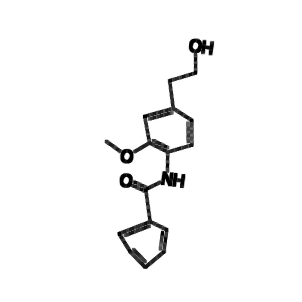 COc1cc(CCO)ccc1NC(=O)c1ccccc1